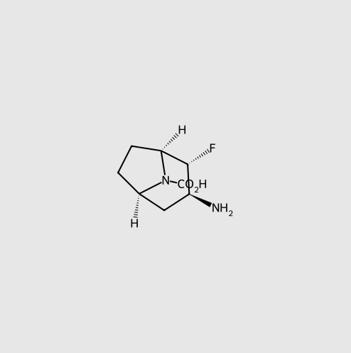 N[C@H]1C[C@H]2CC[C@@H]([C@@H]1F)N2C(=O)O